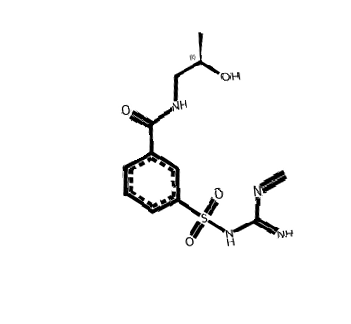 C=NC(=N)NS(=O)(=O)c1cccc(C(=O)NC[C@@H](C)O)c1